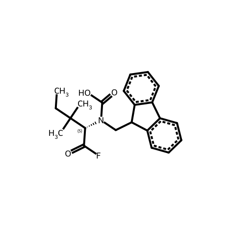 CCC(C)(C)[C@@H](C(=O)F)N(CC1c2ccccc2-c2ccccc21)C(=O)O